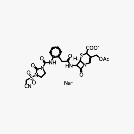 CC(=O)OCC1=CN2C(=O)C(NC(=O)Cc3ccccc3NC(=O)N3CCN(S(=O)(=O)CC#N)C3=O)[C@H]2SC1C(=O)[O-].[Na+]